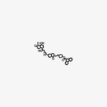 O=C(Nc1ccccc1-c1ccccc1)OC1CCN(CCN2CCc3cc(CCNC[C@H](O)c4ccc(O)c5[nH]c(=O)ccc45)ccc3C2=O)CC1